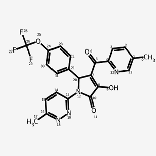 Cc1ccc(C(=O)C2=C(O)C(=O)N(c3ccc(C)nn3)C2c2ccc(OC(F)(F)F)cc2)nc1